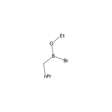 CCCCB(Br)OCC